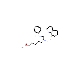 O=C(CCCCC[C@H](NS(=O)(=O)c1cccc2cccnc12)C(=O)Nc1ccccc1)NO